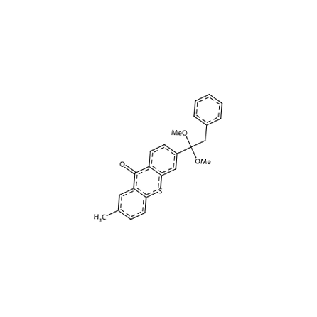 COC(Cc1ccccc1)(OC)c1ccc2c(=O)c3cc(C)ccc3sc2c1